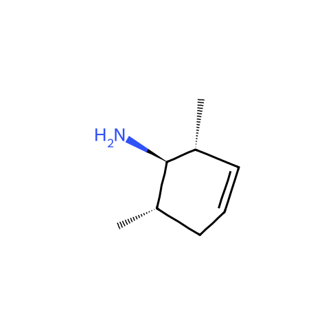 C[C@@H]1C=CC[C@H](C)[C@H]1N